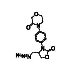 [N-]=[N+]=NCC1COC(=O)N1c1ccc(N2CCOCC2=O)cc1